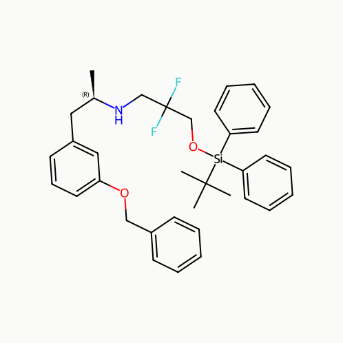 C[C@H](Cc1cccc(OCc2ccccc2)c1)NCC(F)(F)CO[Si](c1ccccc1)(c1ccccc1)C(C)(C)C